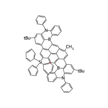 Cc1cc2c3c(cc4c([Si](c5ccccc5)(c5ccccc5)c5ccccc5)cc5c6c(cc1c3c46)B1c3ccccc3N(c3ccccc3)c3cc(C(C)(C)C)cc-5c31)B1c3ccccc3N(c3ccccc3)c3cc(C(C)(C)C)cc-2c31